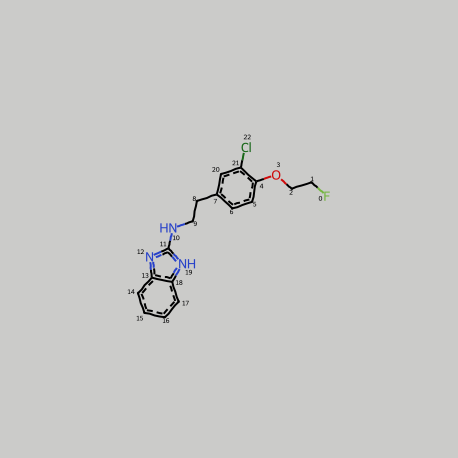 FCCOc1ccc(CCNc2nc3ccccc3[nH]2)cc1Cl